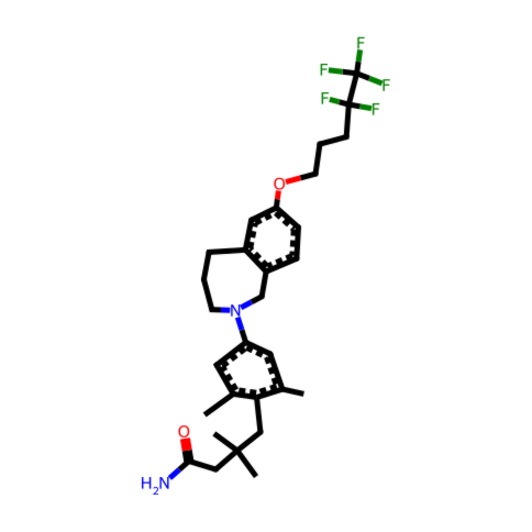 Cc1cc(N2CCCc3cc(OCCCC(F)(F)C(F)(F)F)ccc3C2)cc(C)c1CC(C)(C)CC(N)=O